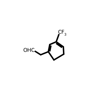 O=CCC1=CC(C(F)(F)F)=CCC1